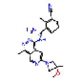 COC1(C)CN(c2cc3c(N[C@H](N)c4cccc(C#N)c4C)nnc(C)c3cn2)C1